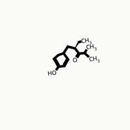 CC[C@H](CC1C=CC(O)=CC1)C(=O)C(C)C